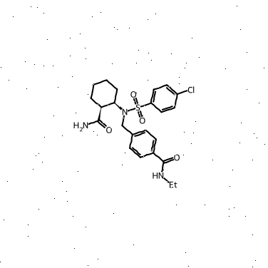 CCNC(=O)c1ccc(CN([C@@H]2CCCC[C@@H]2C(N)=O)S(=O)(=O)c2ccc(Cl)cc2)cc1